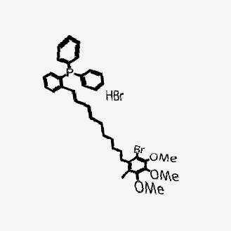 Br.COc1c(C)c(CCCCCCCCCCc2ccccc2P(c2ccccc2)c2ccccc2)c(Br)c(OC)c1OC